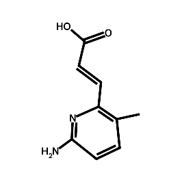 Cc1ccc(N)nc1C=CC(=O)O